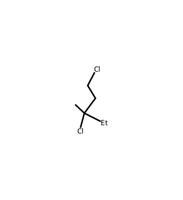 CCC(C)(Cl)CCCl